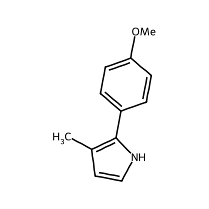 COc1ccc(-c2[nH]ccc2C)cc1